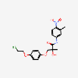 Cc1cc(NC(=O)C(C)(O)COc2ccc(OCCCl)cc2)ccc1[N+](=O)[O-]